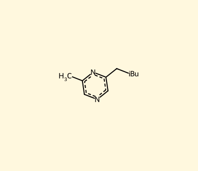 CCC(C)Cc1cncc(C)n1